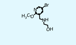 COc1ncc(Br)cc1CNCCO